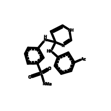 CNS(=O)(=O)c1cccc(NC2(Nc3cccc(C(C)=O)c3)C=CNC=N2)c1